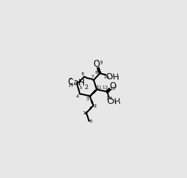 CCCC1CCCC(C(=O)O)C1C(=O)O.[CaH2]